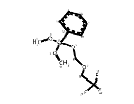 CO[Si](OC)(OCOCC(F)(F)F)c1ccccc1